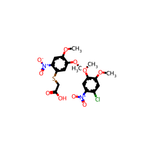 COc1cc(Cl)c([N+](=O)[O-])cc1OC.COc1cc(SCC(=O)O)c([N+](=O)[O-])cc1OC